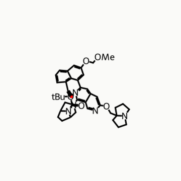 C#Cc1cccc2cc(OCOC)cc(-c3cc4cc(OCC56CCCN5CCC6)ncc4c(N4CC5CCC(C4)N5C(=O)OC(C)(C)C)n3)c12